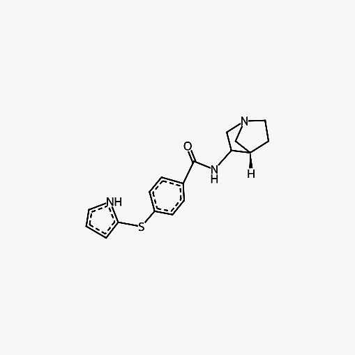 O=C(NC1CN2CC[C@H]1C2)c1ccc(Sc2ccc[nH]2)cc1